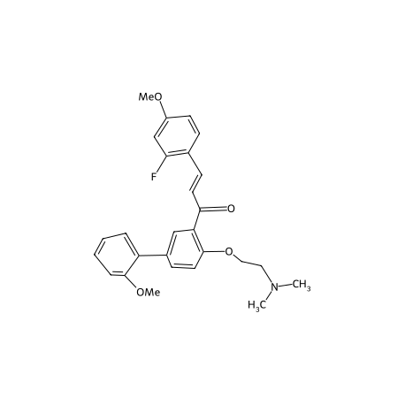 COc1ccc(C=CC(=O)c2cc(-c3ccccc3OC)ccc2OCCN(C)C)c(F)c1